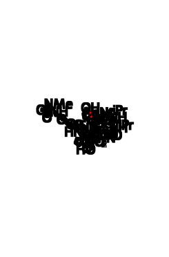 CC[C@H](C)[C@H](NC(=O)[C@H](CO)NC(=O)[C@@H]1CCCC1C(=O)[C@H](CS)NC(=O)COCCOCCNc1c(NC)c(=O)c1=O)C(=O)N[C@@H](Cc1ccc(O)cc1)C(=O)N1CCC[C@H]1C(=O)N[C@@H](CC(C)C)C(=O)N[C@@H](CC(C)C)C(=O)N[C@@H](CS)C(N)=O